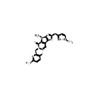 CN/C=C\C(=N)Cc1nc2c(s1)c1cnn(Cc3nc(N)ccc3F)c(=O)c1n2C